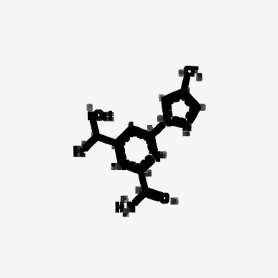 CCCCCCCCC(CC)c1cc(-n2cc(C(F)(F)F)cn2)nc(C(N)=O)n1